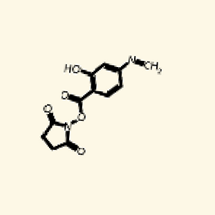 C=Nc1ccc(C(=O)ON2C(=O)CCC2=O)c(O)c1